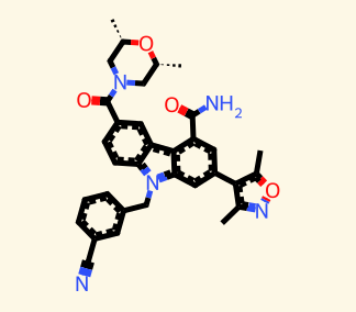 Cc1noc(C)c1-c1cc(C(N)=O)c2c3cc(C(=O)N4C[C@@H](C)O[C@@H](C)C4)ccc3n(Cc3cccc(C#N)c3)c2c1